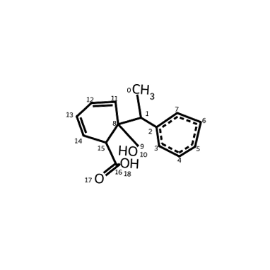 CC(c1ccccc1)C1(CO)C=CC=CC1C(=O)O